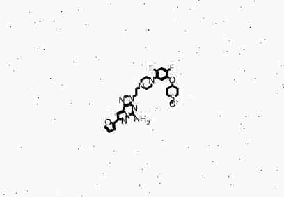 Nc1nc2c(ncn2CCN2CCN(c3cc(OC4CC[S+]([O-])CC4)c(F)cc3F)CC2)c2cc(-c3ccco3)nn12